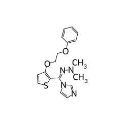 CN(C)/N=C(/c1sccc1OCCOc1ccccc1)n1ccnc1